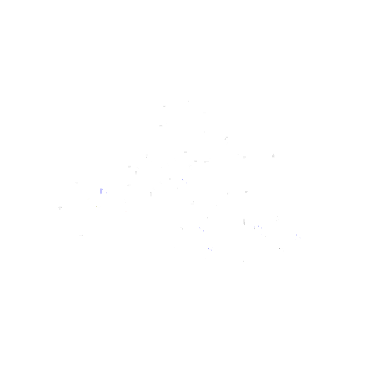 CCN1CC2CC1CN2C(=O)c1c(C)nn(CC)c1C1=Cc2cc(OC)ccc2-c2c(C3CCCCC3)c3ccc(C(=O)NS(=O)(=O)C(C)C)cc3n2C1